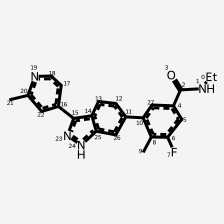 CCNC(=O)c1cc(F)c(C)c(-c2ccc3c(-c4ccnc(C)c4)n[nH]c3c2)c1